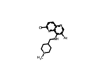 CC(=O)c1cnc2ccc(Cl)nc2c1NCC1CCN(C)CC1